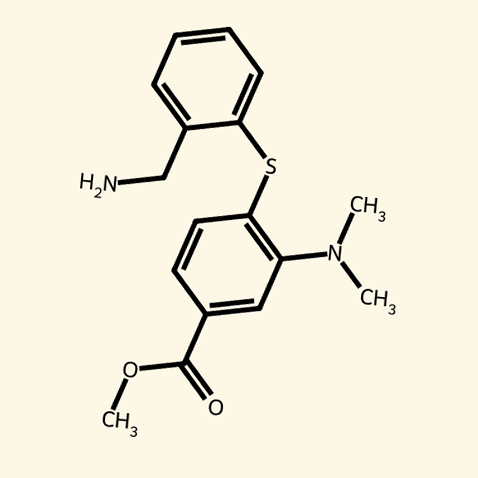 COC(=O)c1ccc(Sc2ccccc2CN)c(N(C)C)c1